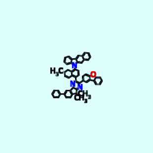 C[C@H]1C=Cc2c(-c3nc4c(nc3-c3ccc5oc6ccccc6c5c3)C(C)(C)c3ccc(-c5ccccc5)cc3-4)ccc(-n3c4ccccc4c4cc5ccccc5cc43)c2C1